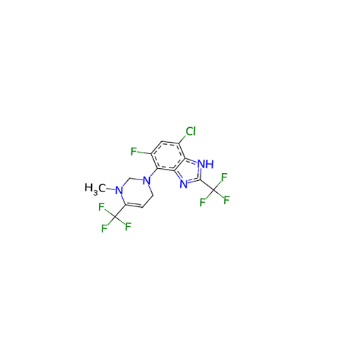 CN1CN(c2c(F)cc(Cl)c3[nH]c(C(F)(F)F)nc23)CC=C1C(F)(F)F